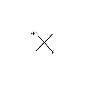 [CH2]C(C)(O)F